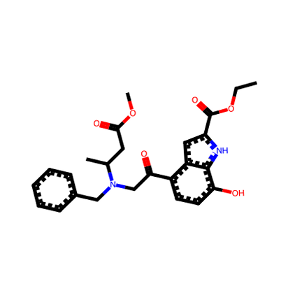 CCOC(=O)c1cc2c(C(=O)CN(Cc3ccccc3)C(C)CC(=O)OC)ccc(O)c2[nH]1